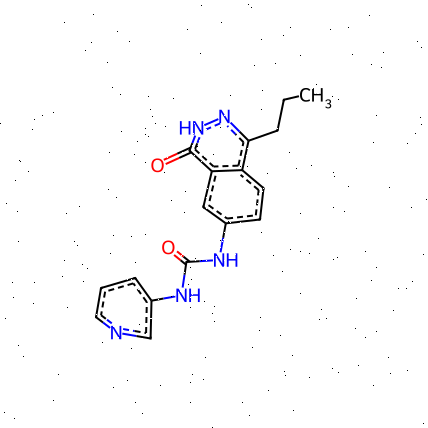 CCCc1n[nH]c(=O)c2cc(NC(=O)Nc3cccnc3)ccc12